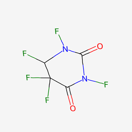 O=C1N(F)C(=O)C(F)(F)C(F)N1F